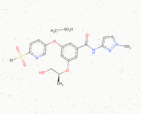 CCS(=O)(=O)c1ccc(Oc2cc(O[C@@H](C)CO)cc(C(=O)Nc3ccn(C)n3)c2)cn1.CS(=O)(=O)O